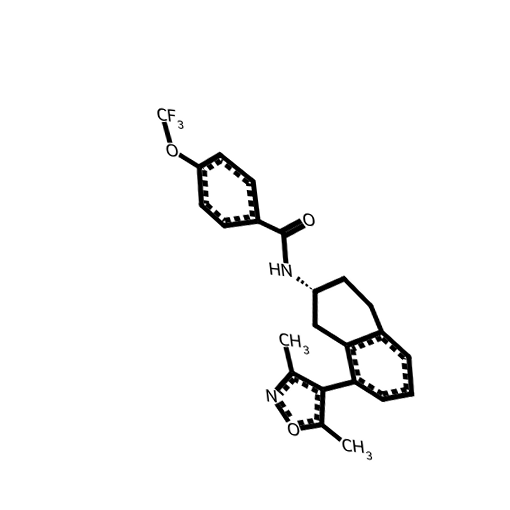 Cc1noc(C)c1-c1cccc2c1C[C@H](NC(=O)c1ccc(OC(F)(F)F)cc1)CC2